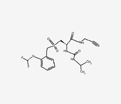 CC(C)NC(=O)N[C@@H](CS(=O)(=O)Cc1ccccc1OC(F)F)C(=O)NCC#N